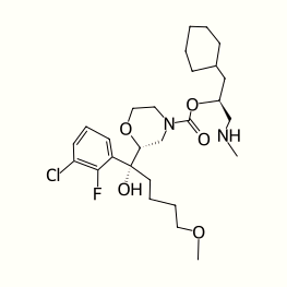 CNC[C@H](CC1CCCCC1)OC(=O)N1CCO[C@@H]([C@@](O)(CCCCOC)c2cccc(Cl)c2F)C1